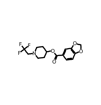 O=C(OC1CCN(CC(F)(F)F)CC1)c1ccc2c(c1)OCO2